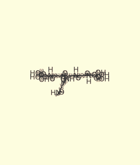 CCNC(=O)CCCCCCC(=O)N[C@@H](CCCCNC(=O)CCCCC(=O)NCCO[C@@H]1O[C@@H](C)[C@@H](O)[C@@H](O)[C@@H]1O)C(=O)NCCCCCC(=O)NCCO[C@@H]1O[C@@H](C)[C@@H](O)[C@@H](O)[C@@H]1O